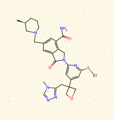 CCSc1cc(C2(Cc3nncn3C)COC2)cc(N2Cc3c(C(N)=O)cc(CN4CCC[C@H](C)C4)cc3C2=O)n1